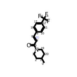 CC1CCN(C(=O)/C=C/c2ccc(C(F)(F)F)cc2)CC1